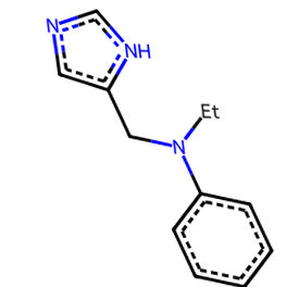 CCN(Cc1cnc[nH]1)c1ccccc1